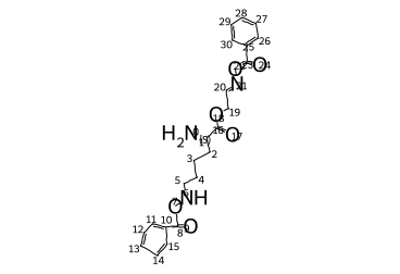 N[C@@H](CCCCNOC(=O)c1ccccc1)C(=O)OCC=NOC(=O)c1ccccc1